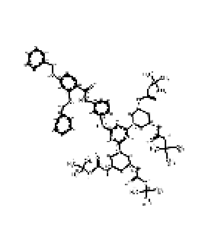 CC(C)(C)OC(=O)N[C@@H]1C[C@H](NC(=O)OC(C)(C)C)CN(c2nc(Nc3cccc(NC(=O)c4ccc(OCc5ccccc5)cc4OCc4ccccc4)c3)nc(N3C[C@H](NC(=O)OC(C)(C)C)C[C@H](NC(=O)OC(C)(C)C)C3)n2)C1